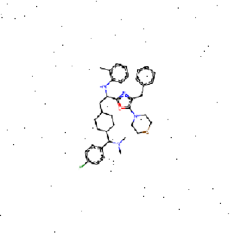 Cc1ccccc1NC(CC1CCC(C(c2ccc(F)cc2)N(C)C)CC1)c1nc(Cc2ccccc2)c(N2CCSCC2)o1